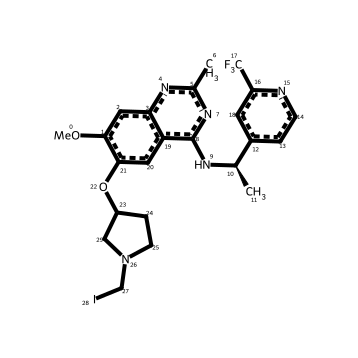 COc1cc2nc(C)nc(N[C@H](C)c3ccnc(C(F)(F)F)c3)c2cc1OC1CCN(CI)C1